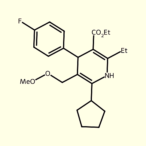 CCOC(=O)C1=C(CC)NC(C2CCCC2)=C(COOC)C1c1ccc(F)cc1